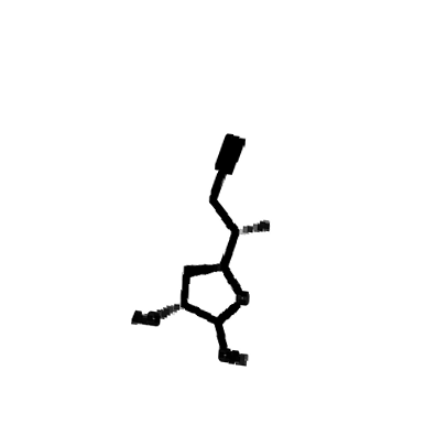 C#CC[C@H](C)[C@@H]1C[C@@H](OC(C)=O)C(OC(C)=O)O1